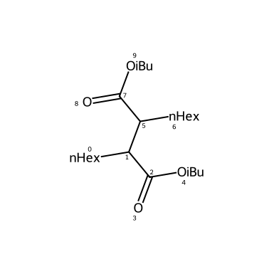 CCCCCCC(C(=O)OCC(C)C)C(CCCCCC)C(=O)OCC(C)C